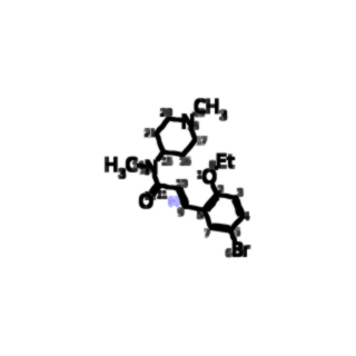 CCOc1ccc(Br)cc1/C=C/C(=O)N(C)C1CCN(C)CC1